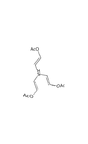 CC(=O)OC=C[SiH](C=COC(C)=O)C=COC(C)=O